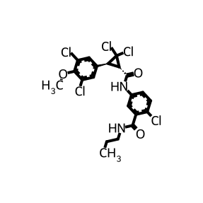 CCCNC(=O)c1cc(NC(=O)[C@@H]2[C@@H](c3cc(Cl)c(OC)c(Cl)c3)C2(Cl)Cl)ccc1Cl